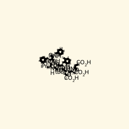 Cc1ccccc1C[C@H](NC(=O)[C@H](CCC(=O)O)NC(=O)[C@H](CC(=O)O)NC(=O)CCC(=O)O)C(=O)N[C@H](C(=O)N[C@@H](CC(C)C)C(=O)N[C@@H](Cc1ccccc1)C(O)C(=O)NCc1ccccc1)C(C)(C)C